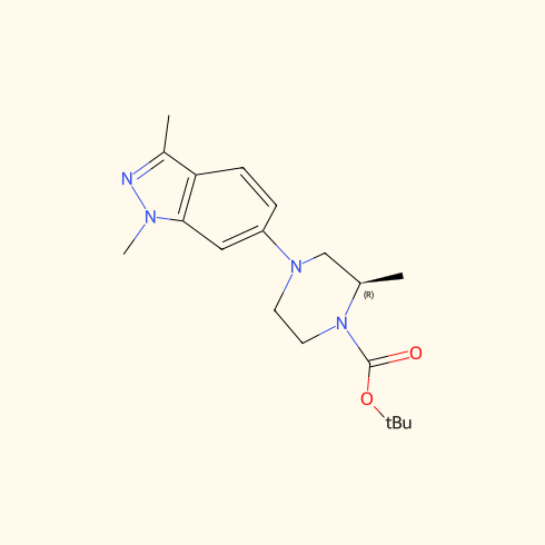 Cc1nn(C)c2cc(N3CCN(C(=O)OC(C)(C)C)[C@H](C)C3)ccc12